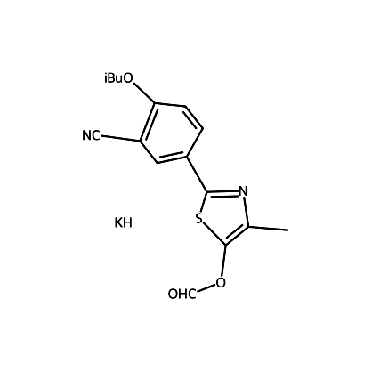 Cc1nc(-c2ccc(OCC(C)C)c(C#N)c2)sc1OC=O.[KH]